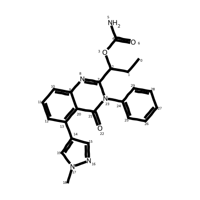 CCC(OC(N)=O)c1nc2cccc(-c3cnn(C)c3)c2c(=O)n1-c1ccccc1